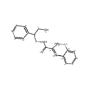 O=C(NCC(CO)c1ccccc1)C1=Nc2ccccc2SN1